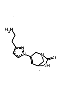 NCCc1ccn(C2=CC3CN(C2)C(=O)N3)n1